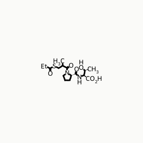 CCC(=O)SCC(C)C(=O)N1CCC[C@H]1C(=O)N[C@H](C(=O)O)[C@@H](C)O